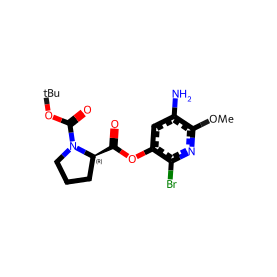 COc1nc(Br)c(OC(=O)[C@H]2CCCN2C(=O)OC(C)(C)C)cc1N